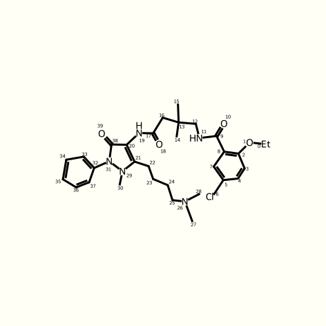 CCOc1ccc(Cl)cc1C(=O)NCC(C)(C)CC(=O)Nc1c(CCCCN(C)C)n(C)n(-c2ccccc2)c1=O